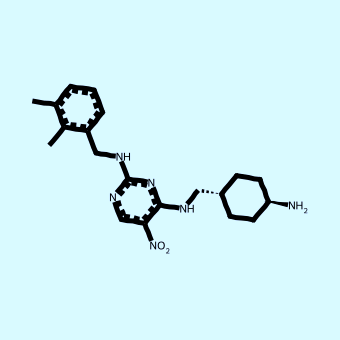 Cc1cccc(CNc2ncc([N+](=O)[O-])c(NC[C@H]3CC[C@H](N)CC3)n2)c1C